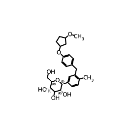 COC1CCC(Oc2ccc(Cc3cc([C@@H]4O[C@H](CO)[C@@H](O)C(O)[C@H]4O)ccc3C)cc2)C1